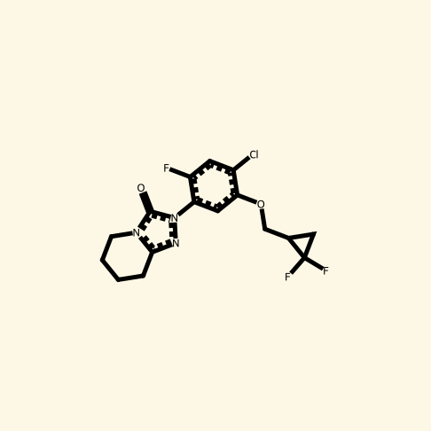 O=c1n(-c2cc(OCC3CC3(F)F)c(Cl)cc2F)nc2n1CCCC2